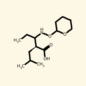 CCC(NOC1CCCCO1)[C@H](CC(C)C)C(=O)O